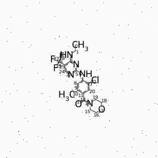 CCNc1nc(Nc2cc(C)c(C(=O)N3CCOCC3)cc2Cl)ncc1C(F)(F)F